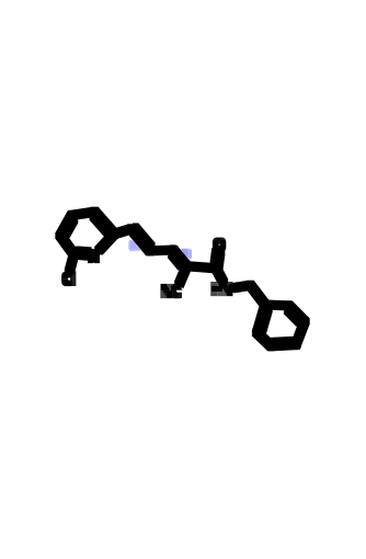 N#C/C(=C\C=C\c1cccc(Cl)n1)C(=O)NCc1ccccc1